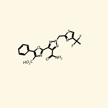 CC(F)(F)c1csc(Cn2nc(C(N)=O)c(-c3nc(C(=O)O)c(-c4ccccc4)o3)n2)n1